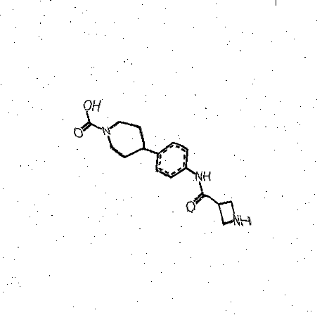 O=C(Nc1ccc(C2CCN(C(=O)O)CC2)cc1)C1CNC1